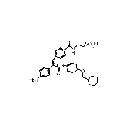 CC(C)(C)c1ccc(/C(=C/c2ccc(C(=O)NCCS(=O)(=O)O)cc2)C(=O)Nc2ccc(OCC3CCCCC3)cc2)cc1